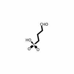 O=CCCCS(=O)(=O)O